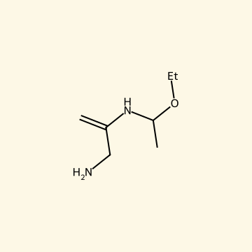 C=C(CN)NC(C)OCC